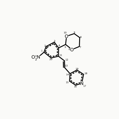 O=[N+]([O-])c1ccc(C2OCCCO2)c(/C=C/c2ccncc2)c1